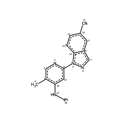 Cc1cnc(-n2ncc3cc(C#N)cnc32)cc1NC(C)C